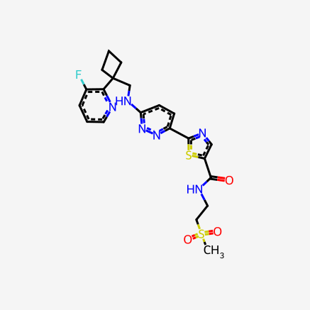 CS(=O)(=O)CCNC(=O)c1cnc(-c2ccc(NCC3(c4ncccc4F)CCC3)nn2)s1